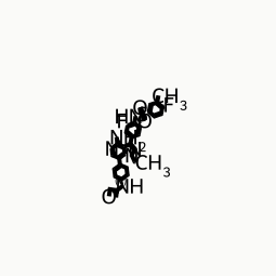 CCn1nc(-c2ccc(NS(=O)(=O)c3ccc(F)c(C)c3)c(F)c2)c2c(N)ncc(C3=CC[C@H](NC4COC4)CC3)c21